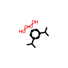 CC(C)c1cccc(C(C)C)c1.OOOO